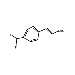 O=C/C=C/c1ccc(C(F)F)cc1